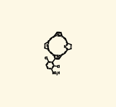 O=S(=O)(O)c1ccc(Cl)c(-c2cc3cc4nc(cc5ccc(cc6nc(cc2[nH]3)C=C6)[nH]5)C=C4)c1Cl